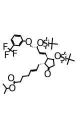 CC(C)OC(=O)CCCC=CC[C@H]1C(=O)C[C@@H](O[Si](C)(C)C(C)(C)C)[C@@H]1C=C[C@H](COc1cccc(C(F)(F)F)c1)O[Si](C)(C)C(C)(C)C